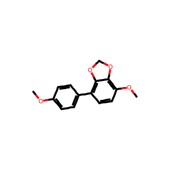 COc1ccc(-c2ccc(OC)c3c2OCO3)cc1